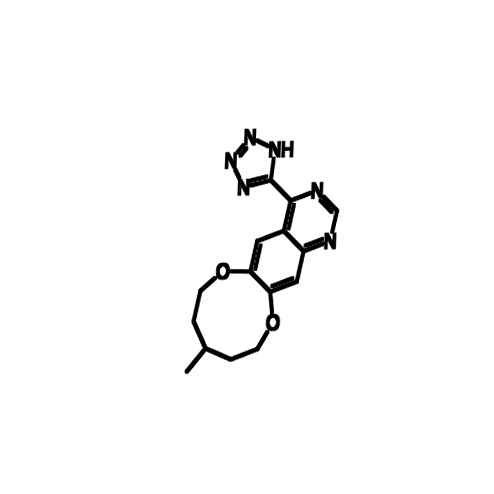 CC1CCOc2cc3ncnc(-c4nnn[nH]4)c3cc2OCC1